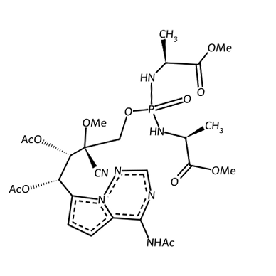 COC(=O)[C@H](C)NP(=O)(N[C@@H](C)C(=O)OC)OC[C@@](C#N)(OC)[C@@H](OC(C)=O)[C@@H](OC(C)=O)c1ccc2c(NC(C)=O)ncnn12